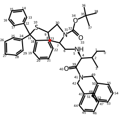 CCC(C)[C@H](NCC1CC(SC(c2ccccc2)(c2ccccc2)c2ccccc2)CN1C(=O)OC(C)(C)C)C(=O)N(Cc1ccccc1)Cc1ccccc1